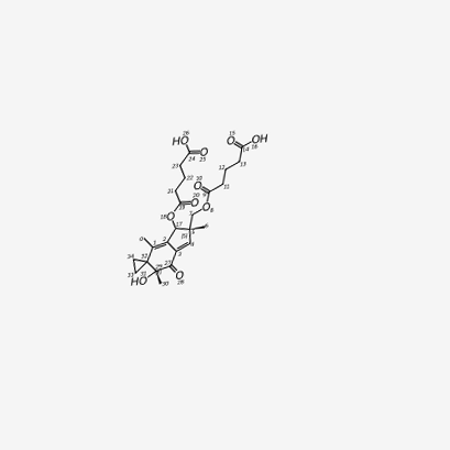 CC1=C2C(=C[C@@](C)(COC(=O)CCCC(=O)O)C2OC(=O)CCCC(=O)O)C(=O)[C@](C)(O)C12CC2